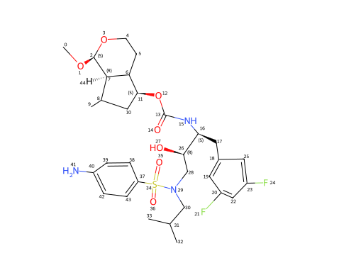 CO[C@H]1OCCC2[C@H]1C(C)C[C@@H]2OC(=O)N[C@@H](Cc1cc(F)cc(F)c1)[C@H](O)CN(CC(C)C)S(=O)(=O)c1ccc(N)cc1